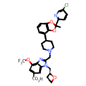 CC1(c2ccc(Cl)cn2)Oc2cccc(C3CCN(Cc4nc5c(OC(F)(F)F)cc(C(=O)O)cc5n4C[C@@H]4CCO4)CC3)c2O1